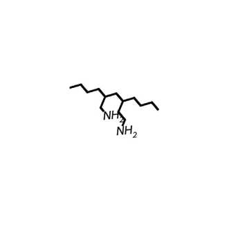 CCCCC(CN)CC(CCN)CCCC